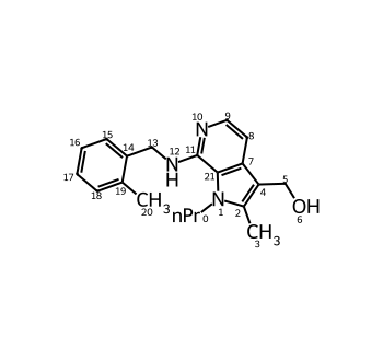 CCCn1c(C)c(CO)c2ccnc(NCc3ccccc3C)c21